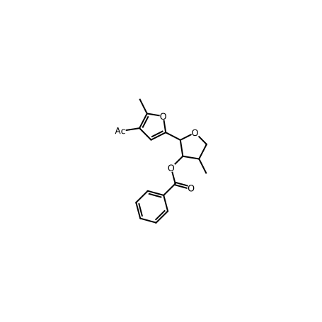 CC(=O)c1cc(C2OCC(C)C2OC(=O)c2ccccc2)oc1C